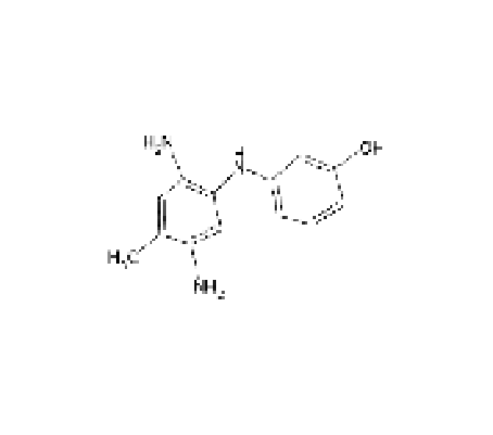 Cc1cc(N)c(Nc2cccc(O)c2)cc1N